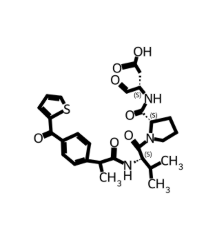 CC(C(=O)N[C@H](C(=O)N1CCC[C@H]1C(=O)N[C@H](C=O)CC(=O)O)C(C)C)c1ccc(C(=O)c2cccs2)cc1